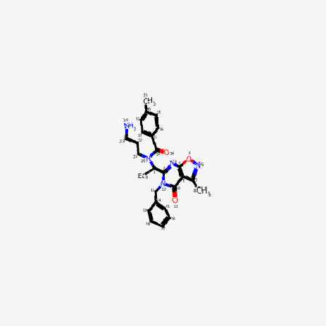 CCC(c1nc2onc(C)c2c(=O)n1Cc1ccccc1)N(CCCN)C(=O)c1ccc(C)cc1